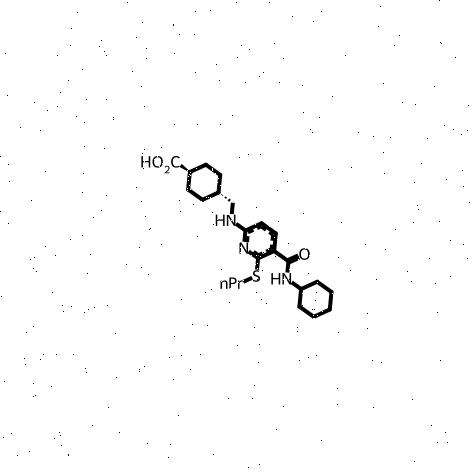 CCCSc1nc(NC[C@H]2CC[C@H](C(=O)O)CC2)ccc1C(=O)NC1CCCCC1